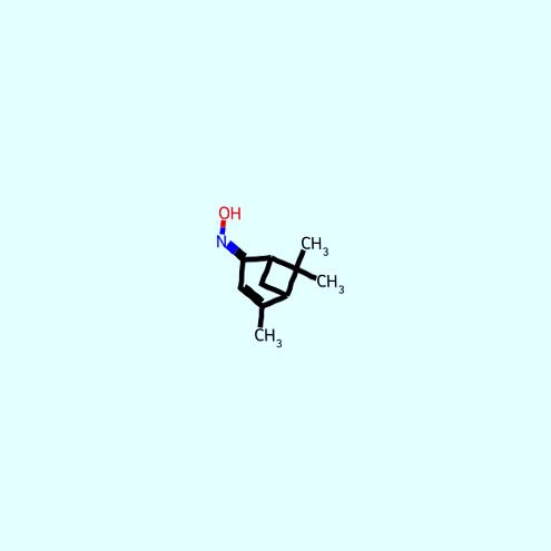 CC1=CC(=NO)C2CC1C2(C)C